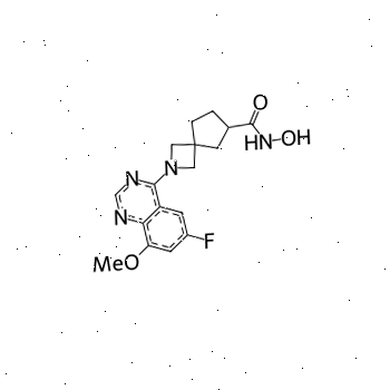 COc1cc(F)cc2c(N3CC4(CCC(C(=O)NO)C4)C3)ncnc12